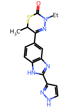 CCN1N=C(c2ccc3[nH]c(-c4cc[nH]n4)nc3c2)C(C)SC1=O